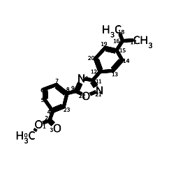 COC(=O)c1cccc(-c2nc(-c3ccc(C(C)C)cc3)no2)c1